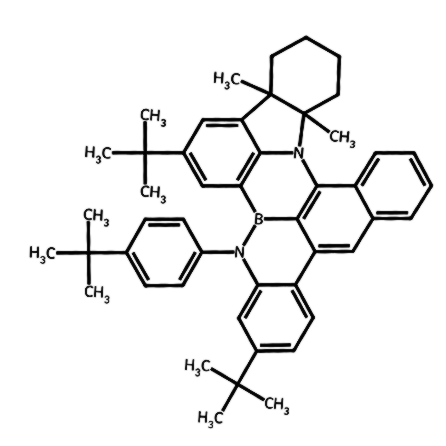 CC(C)(C)c1ccc(N2B3c4cc(C(C)(C)C)cc5c4N(c4c3c(cc3ccccc43)-c3ccc(C(C)(C)C)cc32)C2(C)CCCCC52C)cc1